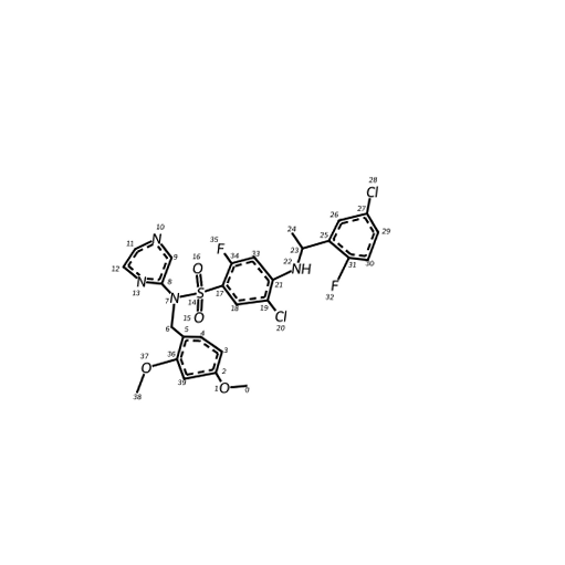 COc1ccc(CN(c2cnccn2)S(=O)(=O)c2cc(Cl)c(NC(C)c3cc(Cl)ccc3F)cc2F)c(OC)c1